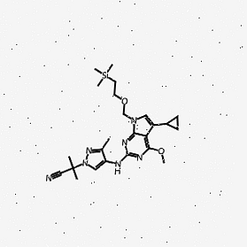 COc1nc(Nc2cn(C(C)(C)C#N)nc2C)nc2c1c(C1CC1)cn2COCC[Si](C)(C)C